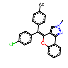 CC(=O)c1ccc(/C(=C2/Oc3ccccc3-c3nn(C)cc32)c2ccc(Cl)cc2)cc1